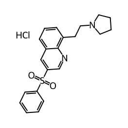 Cl.O=S(=O)(c1ccccc1)c1cnc2c(CCN3CCCC3)cccc2c1